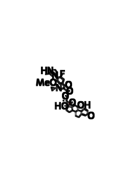 COc1c(N2CCNC(C)C2)c(F)cc2c(=O)c(C(=O)OC[CH]C(=O)[C@@]3(O)CCC4C5CCC6=CC(=O)C=C[C@]6(C)C5[C@@H](O)C[C@@]43C)cn(C3CC3)c12